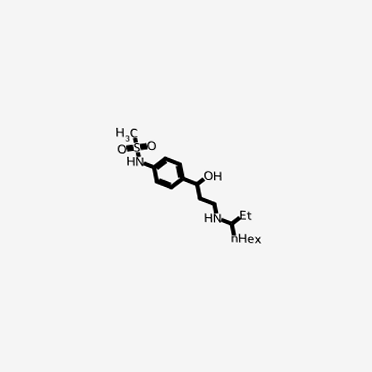 CCCCCCC(CC)NCCC(O)c1ccc(NS(C)(=O)=O)cc1